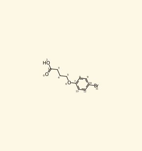 O=C(O)CCCOc1ccc(Br)cc1